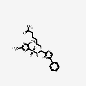 CC(=O)CCCCC[C@H](NS(=O)(=O)c1sc(C)nc1C)c1ncc(-c2ccccc2)[nH]1